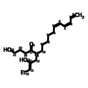 C=C/C=C\C=C/CCCCCN(C/C(O)=C/CC)C(=O)CCCO